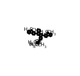 CC1(C)c2ccccc2-c2ccc(-c3cc4c5cc(B6OC(C)(C)C(C)(C)O6)ccc5c(-c5ccc6c(c5)C(C)(C)c5ccccc5-6)cc4c4ccccc34)cc21